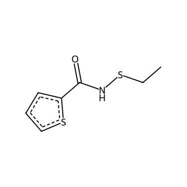 CCSNC(=O)c1cccs1